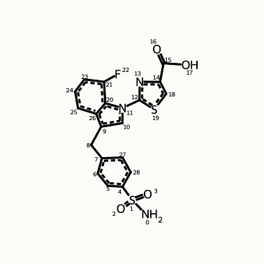 NS(=O)(=O)c1ccc(Cc2cn(-c3nc(C(=O)O)cs3)c3c(F)cccc23)cc1